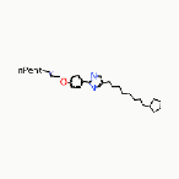 CCCCC/C=C/COc1ccc(-c2ncc(CCCCCCCCC3CCCC3)cn2)cc1